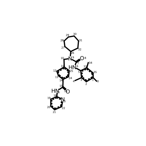 Cc1cc(C)c(NC(=O)N(Cc2ccc(C(=O)Nc3ccccn3)cc2)C2CCCCCC2)c(C)c1